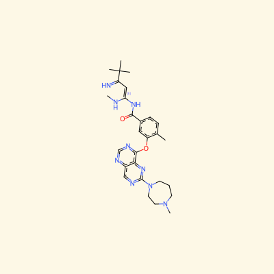 CN/C(=C\C(=N)C(C)(C)C)NC(=O)c1ccc(C)c(Oc2ncnc3cnc(N4CCCN(C)CC4)nc23)c1